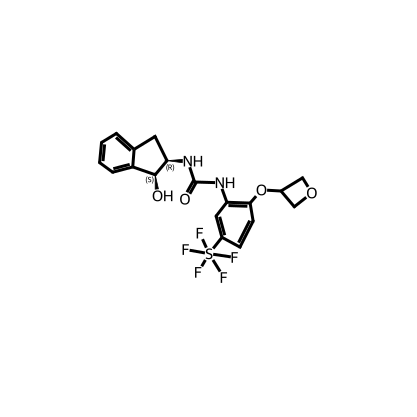 O=C(Nc1cc(S(F)(F)(F)(F)F)ccc1OC1COC1)N[C@@H]1Cc2ccccc2[C@@H]1O